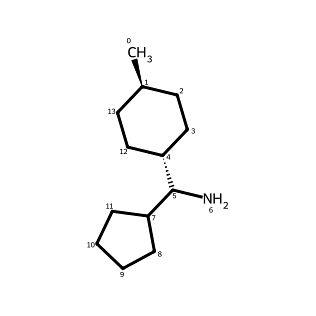 C[C@H]1CC[C@H](C(N)C2CCCC2)CC1